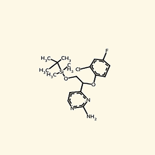 CC(C)(C)[Si](C)(C)OCC(Oc1ccc(F)cc1Cl)c1ccnc(N)n1